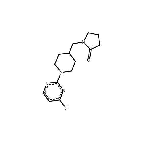 O=C1CCCN1CC1CCN(c2nccc(Cl)n2)CC1